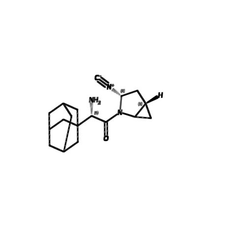 [C-]#[N+][C@@H]1C[C@@H]2CC2N1C(=O)[C@@H](N)C12CC3CC(CC(C3)C1)C2